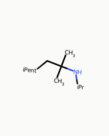 CCCC(C)CC(C)(C)NC(C)C